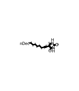 CCCCCCCCCCCCCCCCC#Cc1c[nH]c(=O)[nH]c1=O